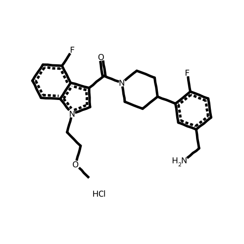 COCCn1cc(C(=O)N2CCC(c3cc(CN)ccc3F)CC2)c2c(F)cccc21.Cl